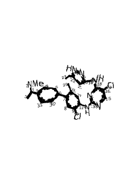 C=C(NC)c1ccc(-c2cc(Cl)c(Nc3ncc(Cl)c(Nc4cc(C)[nH]n4)n3)cc2C)cc1